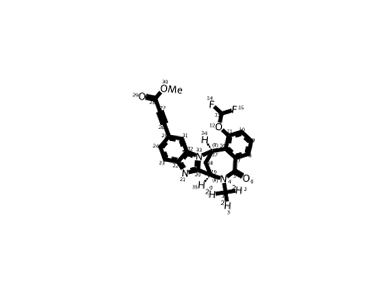 [2H]C([2H])([2H])N1C(=O)c2cccc(OC(F)F)c2[C@H]2C[C@@H]1c1nc3ccc(C#CC(=O)OC)cc3n12